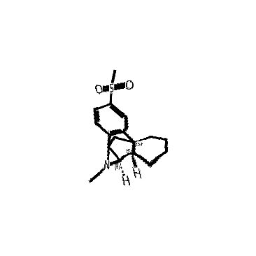 CN1[C@@H]2[C@H]3CCCC[C@]34CC21c1ccc(S(C)(=O)=O)cc14